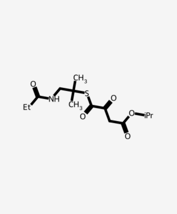 CCC(=O)NCC(C)(C)SC(=O)C(=O)CC(=O)OC(C)C